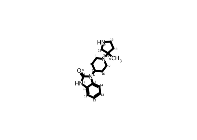 CC1(N2CCC(n3c(=O)[nH]c4ccccc43)CC2)CCNC1